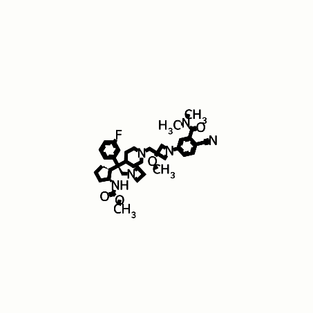 COC(=O)N[C@H]1CCC[C@@H]1[C@](CN1CCC1)(c1cccc(F)c1)C1CCN(CC2(OC)CN(c3ccc(C#N)c(C(=O)N(C)C)c3)C2)CC1